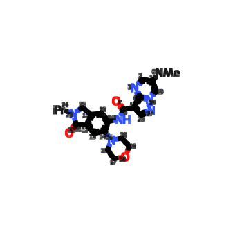 CNc1cnc2c(C(=O)Nc3cc4c(cc3N3CCOCC3)C(=O)N(C(C)C)C4)cnn2c1